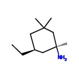 CC[C@H]1CC(C)(C)C[C@@](C)(N)C1